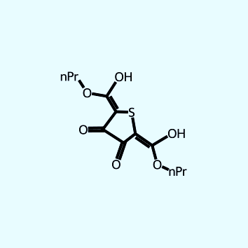 CCCO/C(O)=C1/S/C(=C(\O)OCCC)C(=O)C1=O